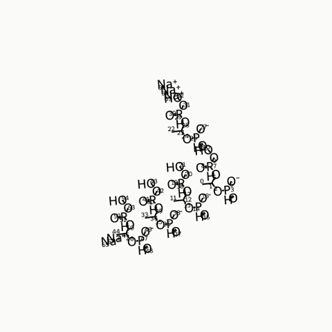 CC(O[PH](=O)[O-])O[PH](=O)OO.CC(O[PH](=O)[O-])O[PH](=O)OO.CC(O[PH](=O)[O-])O[PH](=O)OO.CC(O[PH](=O)[O-])O[PH](=O)OO.CC(O[PH](=O)[O-])O[PH](=O)OO.[Na+].[Na+].[Na+].[Na+].[Na+]